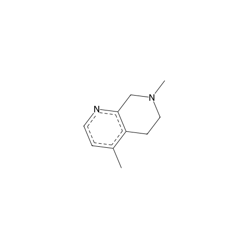 Cc1ccnc2c1CCN(C)C2